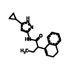 CCC(C(=O)Nc1cc(C2CC2)[nH]n1)C1=CCCc2ccccc21